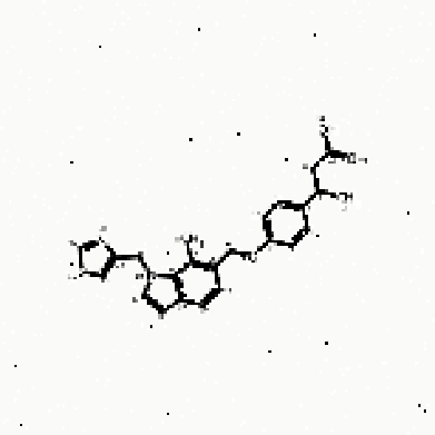 Cc1c(COc2ccc(C(C)CC(=O)O)cc2)ccc2ccn(Cc3cscn3)c12